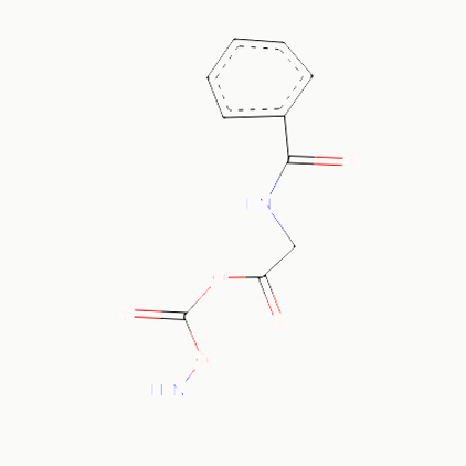 NOC(=O)OC(=O)CNC(=O)c1ccccc1